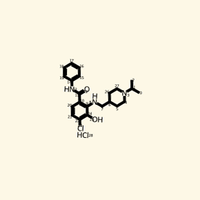 CC(C)N1CCC(CNc2c(C(=O)Nc3ccccc3)ccc(Cl)c2O)CC1.Cl